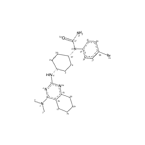 CN(C)c1nc(N[C@H]2CC[C@@H](N(C(N)=O)c3ccc(Br)cc3)CC2)nc2c1CCCC2